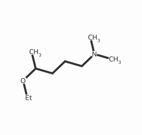 CCOC(C)CCCN(C)C